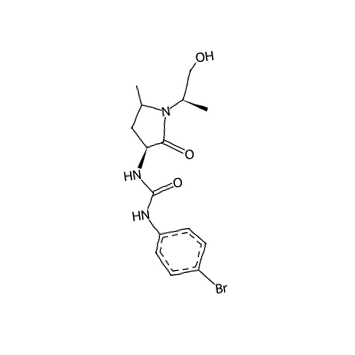 CC1C[C@H](NC(=O)Nc2ccc(Br)cc2)C(=O)N1[C@H](C)CO